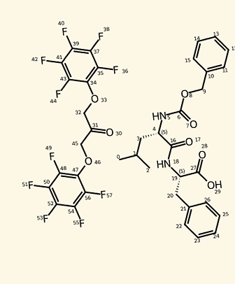 CC(C)C[C@H](NC(=O)OCc1ccccc1)C(=O)N[C@@H](Cc1ccccc1)C(=O)O.O=C(COc1c(F)c(F)c(F)c(F)c1F)COc1c(F)c(F)c(F)c(F)c1F